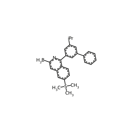 Bc1cc2cc(S(C)(C)C)ccc2c(-c2cc(-c3ccccc3)cc(C(C)C)c2)n1